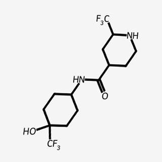 O=C(NC1CCC(O)(C(F)(F)F)CC1)C1CCNC(C(F)(F)F)C1